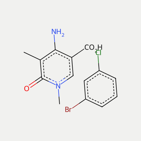 Cc1c(N)c(C(=O)O)cn(C)c1=O.Clc1cccc(Br)c1